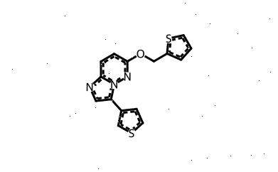 c1csc(COc2ccc3ncc(-c4ccsc4)n3n2)c1